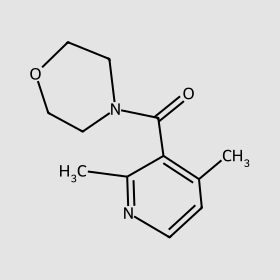 Cc1ccnc(C)c1C(=O)N1CCOCC1